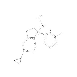 Cc1c(F)cccc1[C@]1(C(=O)NO)CCc2nc(C3CC3)ncc21